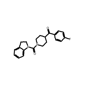 O=C(c1ccc(F)cc1)C1CCN(C(=O)N2CCc3ccccc32)CC1